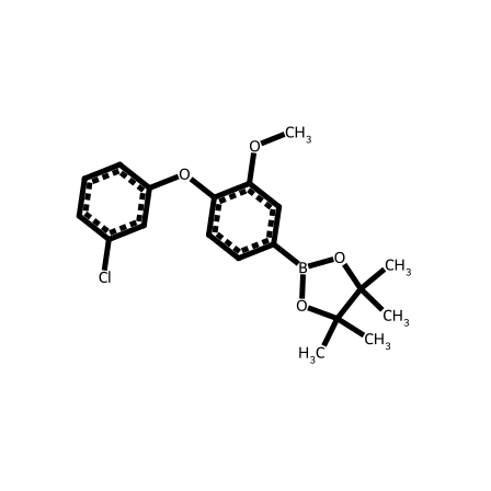 COc1cc(B2OC(C)(C)C(C)(C)O2)ccc1Oc1cccc(Cl)c1